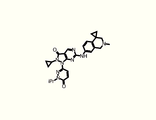 CC(C)n1nc(-n2c3nc(Nc4ccc5c(c4)CN(C)CC54CC4)ncc3c(=O)n2C2CC2)ccc1=O